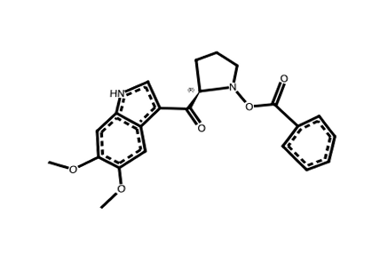 COc1cc2[nH]cc(C(=O)[C@H]3CCCN3OC(=O)c3ccccc3)c2cc1OC